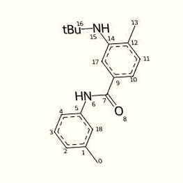 Cc1cccc(NC(=O)c2ccc(C)c(NC(C)(C)C)c2)c1